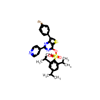 CC(C)c1cc(C(C)C)c(S(=O)(=O)Oc2nc(-c3ccncc3)nc3c(-c4ccc(Br)cc4)csc23)c(C(C)C)c1